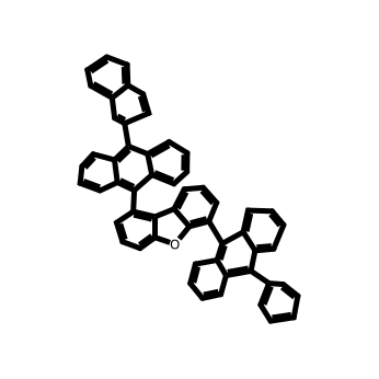 c1ccc(-c2c3ccccc3c(-c3cccc4c3oc3cccc(-c5c6ccccc6c(-c6ccc7ccccc7c6)c6ccccc56)c34)c3ccccc23)cc1